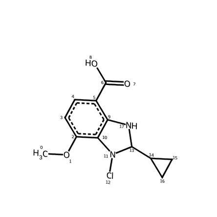 COc1ccc(C(=O)O)c2c1N(Cl)C(C1CC1)N2